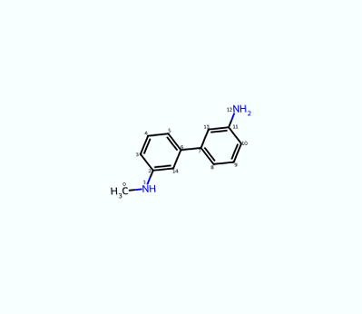 CNc1cccc(-c2cccc(N)c2)c1